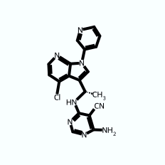 C[C@H](Nc1ncnc(N)c1C#N)c1cn(-c2cccnc2)c2nccc(Cl)c12